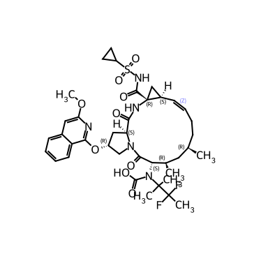 COc1cc2ccccc2c(O[C@@H]2C[C@H]3C(=O)N[C@]4(C(=O)NS(=O)(=O)C5CC5)C[C@H]4/C=C\CC[C@@H](C)C[C@@H](C)[C@H](N(C(=O)O)C(C)(C)C(C)(F)F)C(=O)N3C2)n1